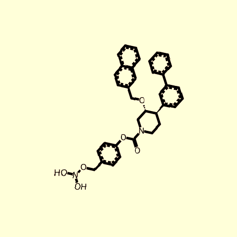 O=C(Oc1ccc(CON(O)O)cc1)N1CC[C@H](c2cccc(-c3ccccc3)c2)[C@@H](OCc2ccc3ccccc3c2)C1